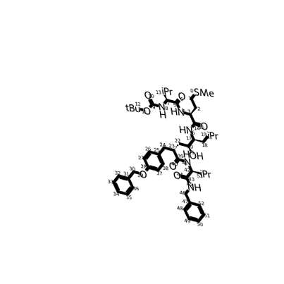 CSCC[C@H](NC(=O)[C@@H](NC(=O)OC(C)(C)C)C(C)C)C(=O)N[C@@H](CC(C)C)[C@@H](O)C[C@@H](Cc1ccc(OCc2ccccc2)cc1)C(=O)N[C@H](C(=O)NCc1ccccc1)C(C)C